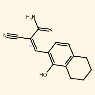 N#C/C(=C/c1ccc2c(c1O)CCCC2)C(N)=S